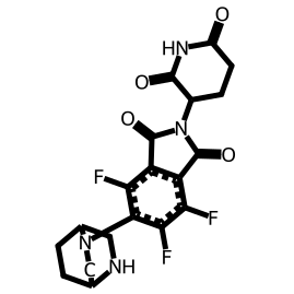 O=C1CCC(N2C(=O)c3c(F)c(F)c(N4CC5CCC4CN5)c(F)c3C2=O)C(=O)N1